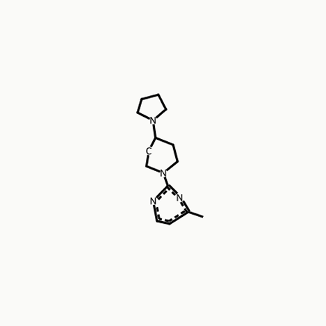 Cc1ccnc(N2CCC(N3CCCC3)CC2)n1